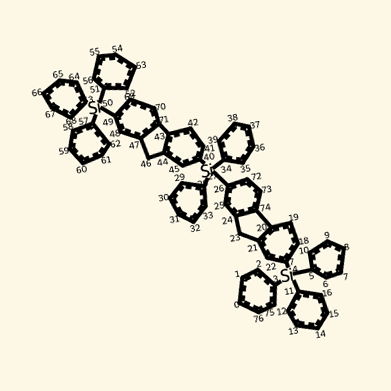 c1ccc([Si](c2ccccc2)(c2ccccc2)c2ccc3c(c2)Cc2cc([Si](c4ccccc4)(c4ccccc4)c4ccc5c(c4)Cc4cc([Si](c6ccccc6)(c6ccccc6)c6ccccc6)ccc4-5)ccc2-3)cc1